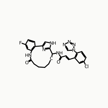 O=C(C=Cc1cc(Cl)ccc1-n1cnnn1)NC1CCCCCC(=O)Nc2cc(F)ccc2-c2c[nH]c1n2